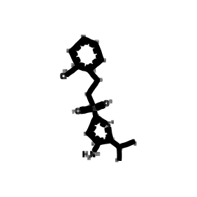 CC(C)c1sc(S(=O)(=O)CCc2ccccc2Cl)cc1N